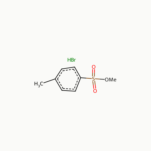 Br.COS(=O)(=O)c1ccc(C)cc1